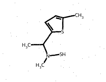 Cc1ccc(C(C)N(C)S)s1